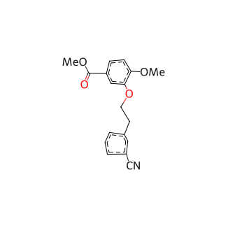 COC(=O)c1ccc(OC)c(OCCc2cccc(C#N)c2)c1